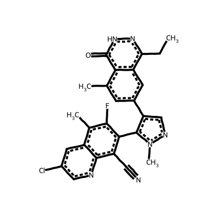 CCc1n[nH]c(=O)c2c(C)cc(-c3cnn(C)c3-c3c(F)c(C)c4cc(Cl)cnc4c3C#N)cc12